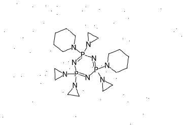 C1CCN(P2(N3CC3)=NP(N3CCCCC3)(N3CC3)=NP(N3CC3)(N3CC3)=N2)CC1